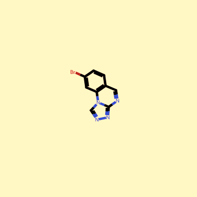 Brc1ccc2cnc3nncn3c2c1